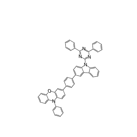 c1ccc(-c2nc(-c3ccccc3)nc(-n3c4ccccc4c4cc(-c5ccc(-c6ccc7c(c6)Oc6ccccc6N7c6ccccc6)cc5)ccc43)n2)cc1